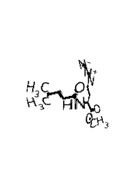 COC(=O)[C@H](CCN=[N+]=[N-])NC(=O)CCC(C)C